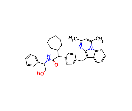 Cc1cc(C)n2c(n1)c(Cc1ccc(C(C(=O)NC(CO)c3ccccc3)C3CCCCCC3)cc1)c1ccccc12